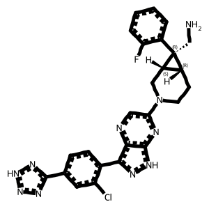 NC[C@]1(c2ccccc2F)[C@@H]2CCN(c3cnc4c(-c5ccc(-c6nn[nH]n6)cc5Cl)n[nH]c4n3)C[C@@H]21